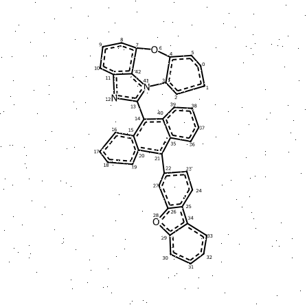 c1ccc2c(c1)Oc1cccc3nc(-c4c5ccccc5c(-c5ccc6c(c5)oc5ccccc56)c5ccccc45)n-2c13